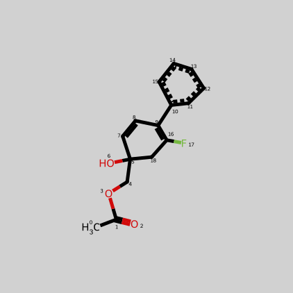 CC(=O)OCC1(O)C=CC(c2ccccc2)=C(F)C1